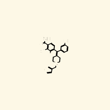 CCc1c(C(N)=O)ccc(C(=C2CCN(Cc3ccoc3)CC2)c2cccc(O)c2)c1CC